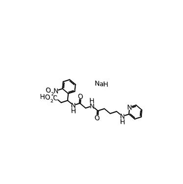 O=C(O)CC(NC(=O)CNC(=O)CCCNc1ccccn1)c1ccccc1[N+](=O)[O-].[NaH]